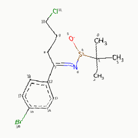 CC(C)(C)[S+]([O-])/N=C(\CCCCl)c1ccc(Br)cc1